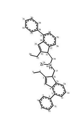 CCC1=Cc2c(-c3ccccc3)cccc2C1C[SiH]([Zr])CC1C(CC)=Cc2c(-c3ccccc3)cccc21